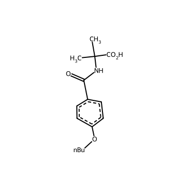 CCCCOc1ccc(C(=O)NC(C)(C)C(=O)O)cc1